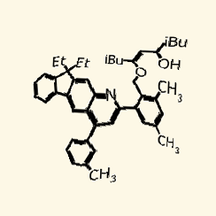 CCC(C)/C(=C/C(O)C(C)CC)OCc1c(C)cc(C)cc1-c1cc(-c2cccc(C)c2)c2cc3c(cc2n1)C(CC)(CC)c1ccccc1-3